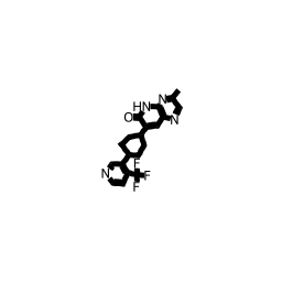 Cc1cnc2cc(C3CCC(c4cnccc4C(F)(F)F)CC3)c(=O)[nH]c2n1